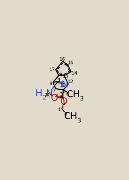 CCOC(=O)C1(C)CC2C(N)=NC1c1ccccc12